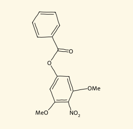 COc1cc(OC(=O)c2ccccc2)cc(OC)c1[N+](=O)[O-]